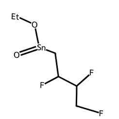 CC[O][Sn](=[O])[CH2]C(F)C(F)CF